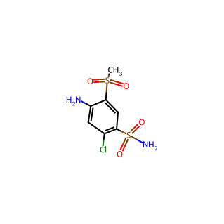 CS(=O)(=O)c1cc(S(N)(=O)=O)c(Cl)cc1N